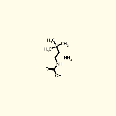 C[Si](C)(C)CCNC(=O)O.N